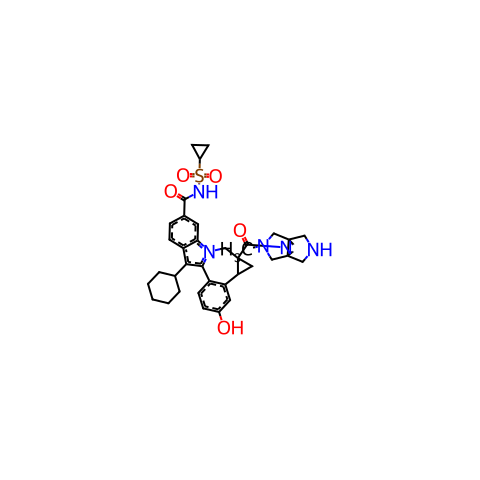 CN1CC23CNCC2(C1)CN(C(=O)C12CC1c1cc(O)ccc1-c1c(C4CCCCC4)c4ccc(C(=O)NS(=O)(=O)C5CC5)cc4n1C2)C3